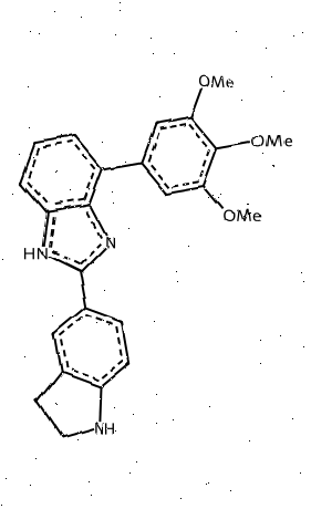 COc1cc(-c2cccc3[nH]c(-c4ccc5c(c4)CCN5)nc23)cc(OC)c1OC